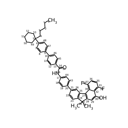 CCCCCC1(c2ccc(-c3ccc(C(=O)Nc4ccc(-c5ccc6c(c5)-c5c(cc(O)c7c(F)ccc(F)c57)C6(C)C)cc4)cc3)cc2)CCCCC1